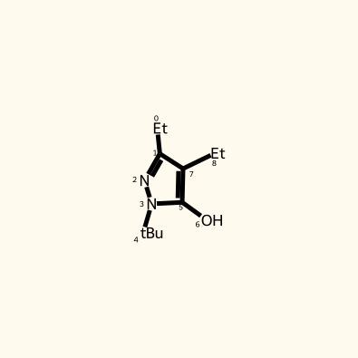 CCc1nn(C(C)(C)C)c(O)c1CC